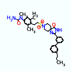 CCCc1cccc(-c2cccc(C3=NC4(CCN(S(=O)(=O)CCc5c(C)cc(N(C)C(N)=O)cc5C)CC4)C(=O)N3)c2)c1